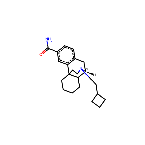 NC(=O)c1ccc2c(c1)C13CCCCC1[C@@H](C2)N(CC1CCC1)CC3